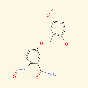 COc1ccc(OC)c(COc2ccc(NC=O)c(C(N)=O)c2)c1